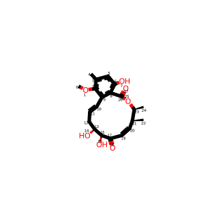 COc1c(C)cc(O)c2c1/C=C/C[C@H](O)[C@H](O)C(=O)/C=C\[C@H](C)[C@H](C)OC2=O